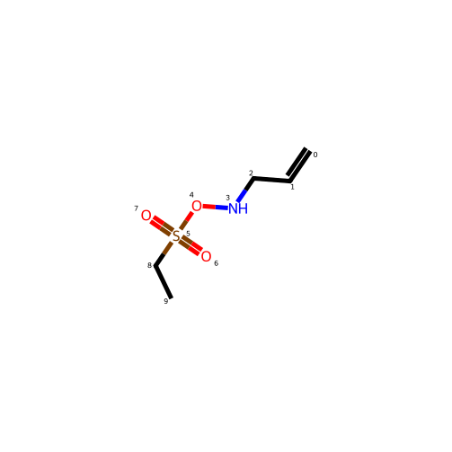 C=CCNOS(=O)(=O)CC